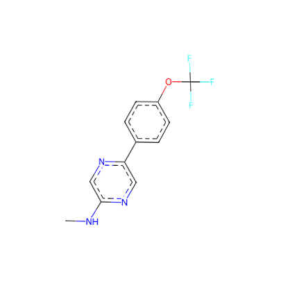 CNc1cnc(-c2ccc(OC(F)(F)F)cc2)cn1